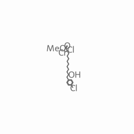 COC(=O)C(Cl)(Cl)CCCCCCCCC(O)Cc1ccc(Cl)cc1